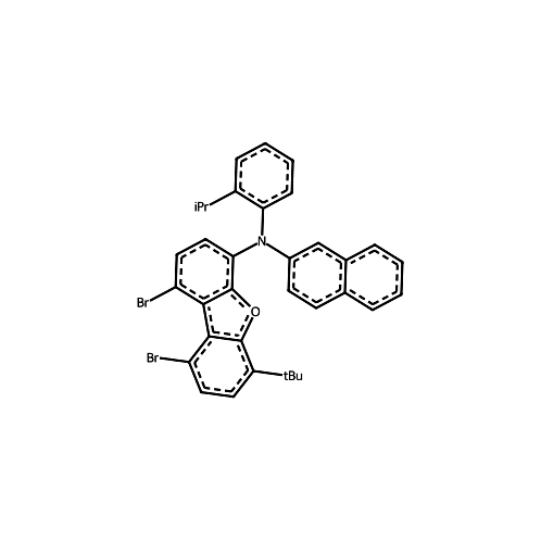 CC(C)c1ccccc1N(c1ccc2ccccc2c1)c1ccc(Br)c2c1oc1c(C(C)(C)C)ccc(Br)c12